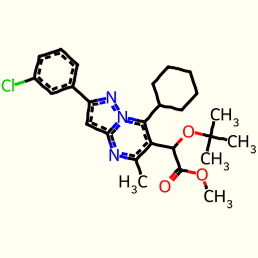 COC(=O)C(OC(C)(C)C)c1c(C)nc2cc(-c3cccc(Cl)c3)nn2c1C1CCCCC1